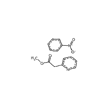 COC(=O)Cc1ccccn1.O=[N+]([O-])c1ccccc1